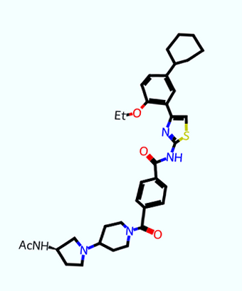 CCOc1ccc(C2CCCCC2)cc1-c1csc(NC(=O)c2ccc(C(=O)N3CCC(N4CC[C@@H](NC(C)=O)C4)CC3)cc2)n1